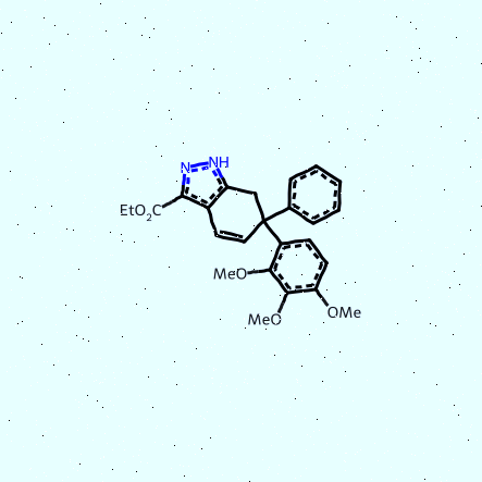 CCOC(=O)c1n[nH]c2c1C=CC(c1ccccc1)(c1ccc(OC)c(OC)c1OC)C2